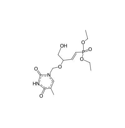 CCOP(=O)(/C=C/C(CO)OCn1cc(C)c(=O)[nH]c1=O)OCC